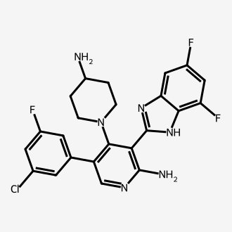 Nc1ncc(-c2cc(F)cc(Cl)c2)c(N2CCC(N)CC2)c1-c1nc2cc(F)cc(F)c2[nH]1